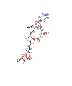 CCC(O)C(C)[C@H]1O[C@@H]1CC(C)(O)/C=C/C=C(\C)[C@H]1OC(=O)C[C@@H](O)CC[C@](C)(OC(=O)N2CCNCC2)[C@@H](OC(C)=O)/C=C/[C@@H]1C